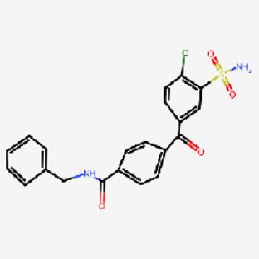 NS(=O)(=O)c1cc(C(=O)c2ccc(C(=O)NCc3ccccc3)cc2)ccc1Cl